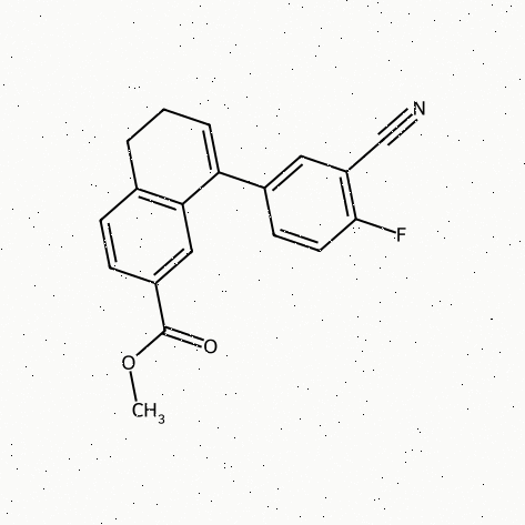 COC(=O)c1ccc2c(c1)C(c1ccc(F)c(C#N)c1)=CCC2